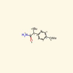 COc1ccc(C(C(N)=O)C(C)(C)C)cc1